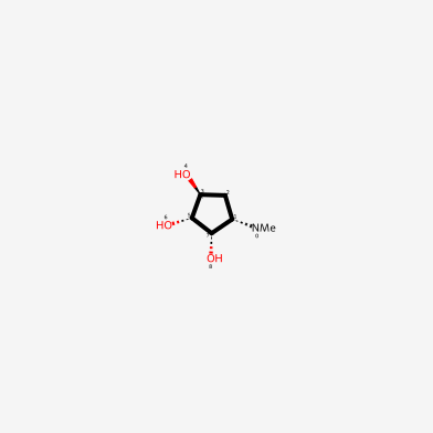 CN[C@H]1C[C@H](O)[C@@H](O)[C@H]1O